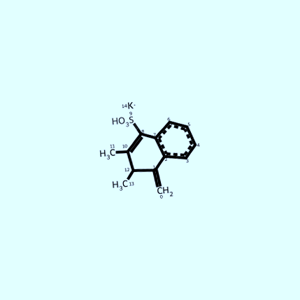 C=C1c2ccccc2C(S(=O)(=O)O)=C(C)C1C.[K]